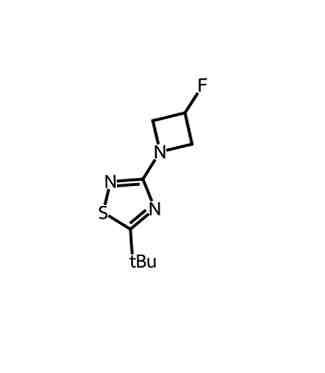 CC(C)(C)c1nc(N2CC(F)C2)ns1